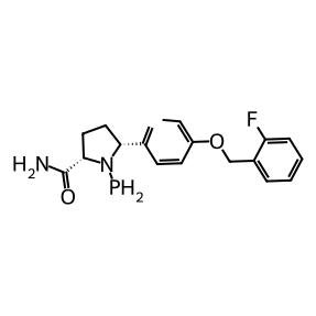 C=C(/C=C\C(=C/C)OCc1ccccc1F)[C@H]1CC[C@@H](C(N)=O)N1P